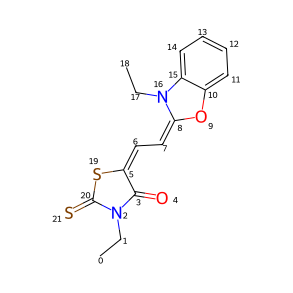 CCN1C(=O)C(=CC=C2Oc3ccccc3N2CC)SC1=S